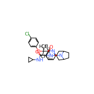 Cc1nc(N2C3CCC2CC(NC(=O)C(C)(C)Oc2ccc(Cl)cc2)C3)ccc1C(=O)NC1CC1